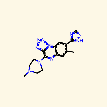 Cc1cc2nc(N3CCN(C)CC3)c3nnnn3c2cc1-c1ncn[nH]1